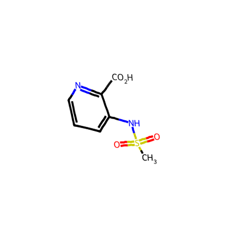 CS(=O)(=O)Nc1cccnc1C(=O)O